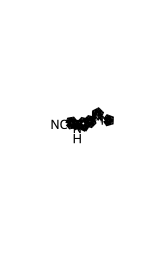 CC1(C)c2ccc(N3CCC[C@H]3CN3CCCC3)cc2Cc2c1[nH]c1cc(C#N)ccc21